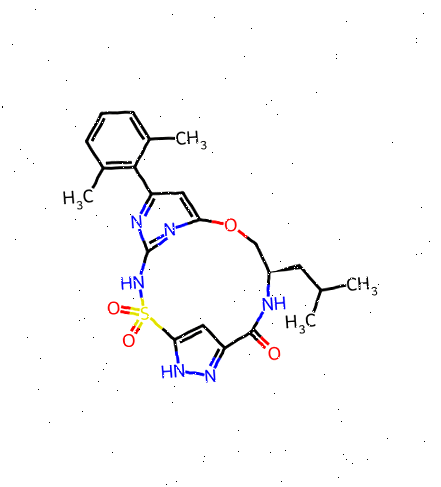 Cc1cccc(C)c1-c1cc2nc(n1)NS(=O)(=O)c1cc(n[nH]1)C(=O)N[C@H](CC(C)C)CO2